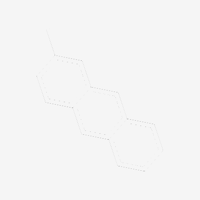 [CH2]c1ccc2cc3ccccc3cc2c1